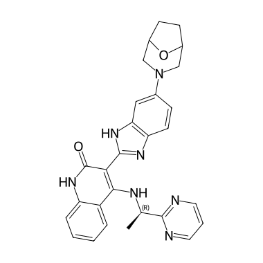 C[C@@H](Nc1c(-c2nc3ccc(N4CC5CCC(C4)O5)cc3[nH]2)c(=O)[nH]c2ccccc12)c1ncccn1